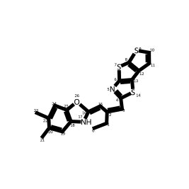 CCC(=Cc1nc2sc3sccc3c2s1)C=C1Nc2cc(C)c(C)cc2O1